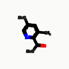 COC(=O)c1ncc(OC)cc1C